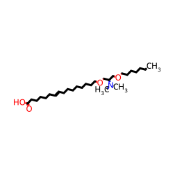 CCCCCCCOCC(COCCCCCCCCC=CCCCCCC(=O)O)N(C)C